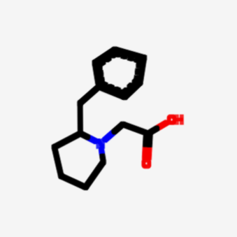 O=C(O)CN1CCCCC1Cc1ccccc1